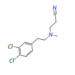 CN(CCC#N)CCc1ccc(Cl)c(Cl)c1